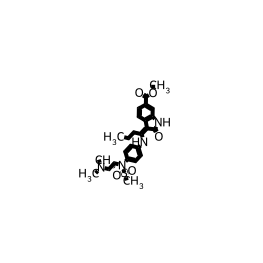 CCC/C(Nc1ccc(N(CCN(C)C)S(C)(=O)=O)cc1)=C1/C(=O)Nc2cc(C(=O)OC)ccc21